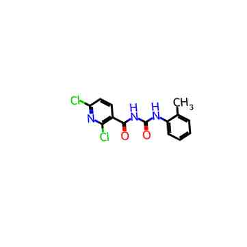 Cc1ccccc1NC(=O)NC(=O)c1ccc(Cl)nc1Cl